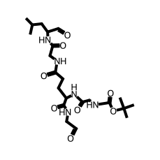 CC(C)CC(C=O)NC(=O)CNC(=O)CCC(NC(=O)CNC(=O)OC(C)(C)C)C(=O)NCC=O